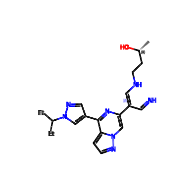 CCC(CC)n1cc(-c2nc(/C(C=N)=C/NCC[C@@H](C)O)cn3nccc23)cn1